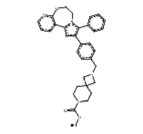 CC(C)(C)OC(=O)N1CCC2(CC1)CN(Cc1ccc(-c3nc4n(c3-c3ccccc3)CCOc3ncccc3-4)cc1)C2